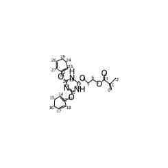 C=C(C)C(=O)OCCOC1NC(OC2=CCCC=C2)=NC(OC2=CCCC=C2)N1